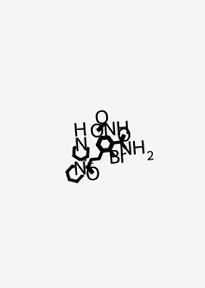 NC(=O)c1c(Br)c(C[CH]C(=O)[N+]2(C3CCNCC3)CCCCC2)cc2oc(=O)[nH]c12